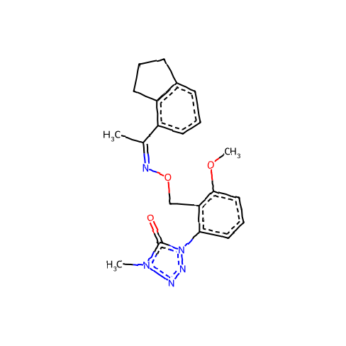 COc1cccc(-n2nnn(C)c2=O)c1CO/N=C(/C)c1cccc2c1CCC2